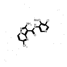 COc1c(Cl)cncc1NC(=O)c1c(N)nn2ccc(C(F)(F)F)nc12